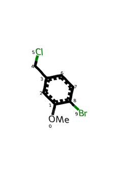 COc1cc(CCl)ccc1Br